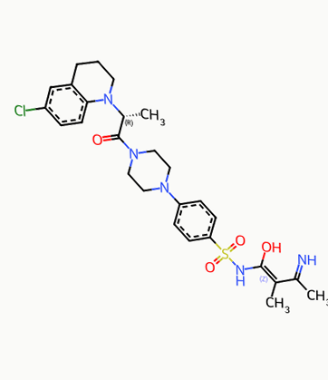 CC(=N)/C(C)=C(\O)NS(=O)(=O)c1ccc(N2CCN(C(=O)[C@@H](C)N3CCCc4cc(Cl)ccc43)CC2)cc1